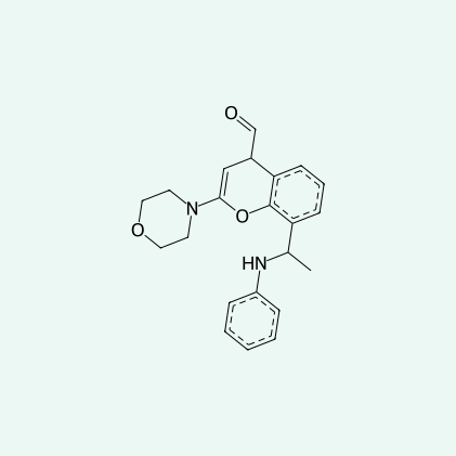 CC(Nc1ccccc1)c1cccc2c1OC(N1CCOCC1)=CC2C=O